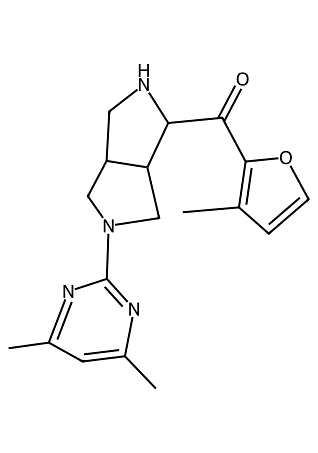 Cc1cc(C)nc(N2CC3CNC(C(=O)c4occc4C)C3C2)n1